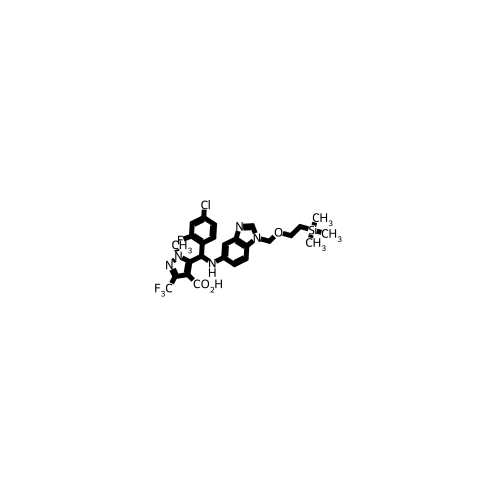 Cn1nc(C(F)(F)F)c(C(=O)O)c1C(Nc1ccc2c(c1)ncn2COCC[Si](C)(C)C)c1ccc(Cl)cc1F